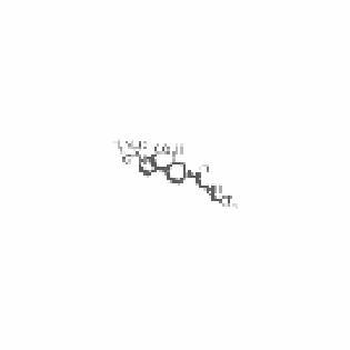 NS(=O)(=O)n1ccc(C2CCN(C(=O)CNCC(F)(F)F)CC2)c1C(=O)O